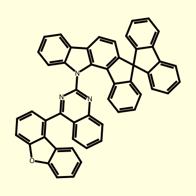 c1ccc2c(c1)-c1ccccc1C21c2ccccc2-c2c1ccc1c3ccccc3n(-c3nc(-c4cccc5oc6ccccc6c45)c4ccccc4n3)c21